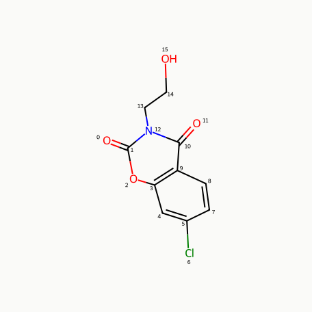 O=c1oc2cc(Cl)ccc2c(=O)n1CCO